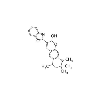 CC1CC(C)(C)N(C)c2cc3c(cc21)C=C(c1nc2ccccc2o1)C(O)O3